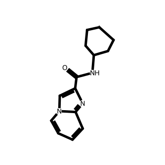 O=C(NC1CC[CH]CC1)c1cn2ccccc2n1